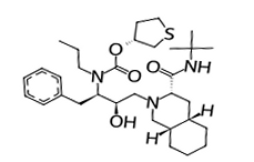 CCCN(C(=O)O[C@@H]1CCSC1)[C@H](Cc1ccccc1)[C@H](O)CN1C[C@H]2CCCC[C@H]2C[C@H]1C(=O)NC(C)(C)C